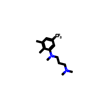 Cc1cc(C(F)(F)F)cc(N(C)CCCN(C)C)c1C